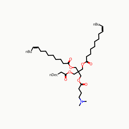 CCCC/C=C\CCCCCCCC(=O)OCC(COC(=O)CCCCCCC/C=C\CCCC)(COC(=O)CCCCCCCCCCC)COC(=O)CCCN(C)C